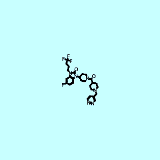 O=C(C1CCN(Cc2ccnnc2)CC1)N1CCC(n2c(=O)n(CCCC(F)(F)F)c3cc(F)ccc32)CC1